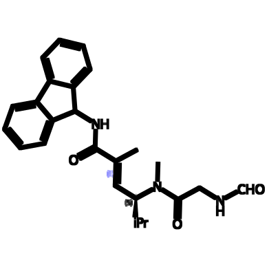 C/C(=C\[C@H](C(C)C)N(C)C(=O)CNC=O)C(=O)NC1c2ccccc2-c2ccccc21